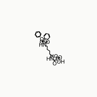 O=C(NCCCCCNS(=O)(=O)C1(Oc2ccccc2)C=CC=CC1)P(=O)(O)O